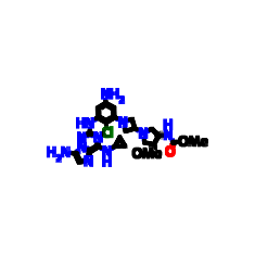 COC(=O)N[C@H]1CN(C2CN(c3cc(N)cc(Nc4nc(NC5CC5)c5ncc(N)n5n4)c3Cl)C2)C[C@H]1OC